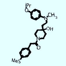 CSc1ccc(CC(=O)N2CCC(O)(CCN(C)c3ccc(OC(C)C)cc3)CC2)cc1